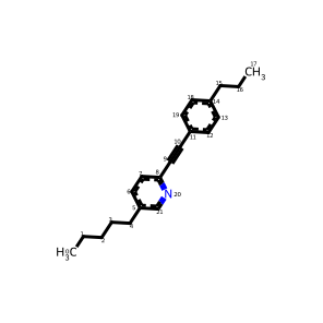 CCCCCc1ccc(C#Cc2ccc(CCC)cc2)nc1